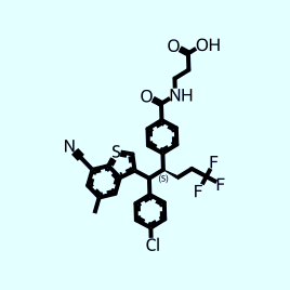 Cc1cc(C#N)c2scc(C(c3ccc(Cl)cc3)[C@H](CCC(F)(F)F)c3ccc(C(=O)NCCC(=O)O)cc3)c2c1